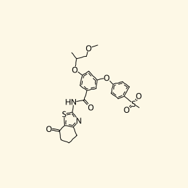 COCC(C)Oc1cc(Oc2ccc(S(C)(=O)=O)cc2)cc(C(=O)Nc2nc3c(s2)C(=O)CCC3)c1